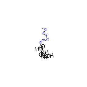 CC/C=C\C/C=C\C/C=C\C/C=C\C/C=C\C/C=C\CCC(=O)NCCNC(=O)c1c[n+](O)c(C)cn1